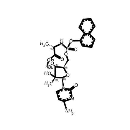 CCCCOC(=O)[C@H](C)NP(=O)(OC[C@H]1O[C@@H](n2ccc(N)nc2=O)[C@](C)(O)[C@@H]1O)Oc1cccc2ccccc12